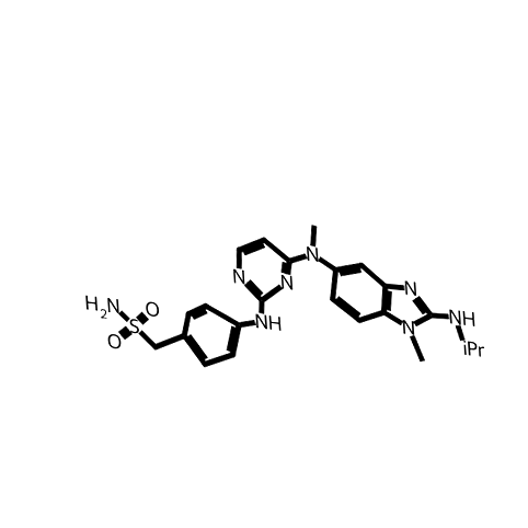 CC(C)Nc1nc2cc(N(C)c3ccnc(Nc4ccc(CS(N)(=O)=O)cc4)n3)ccc2n1C